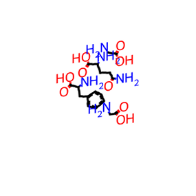 NC(=O)CCC(N)C(=O)O.NC(Cc1ccccc1)C(=O)O.NCC(=O)O.NCC(=O)O